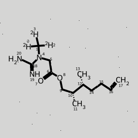 [2H]C([2H])([2H])N(CC(=O)OC[C@@H](C)[C@H](C)CCC=C)C(=N)N